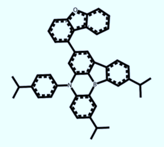 CC(C)c1ccc(N2c3ccc(C(C)C)cc3B3c4cc(C(C)C)ccc4-c4cc(-c5cccc6oc7ccccc7c56)cc2c43)cc1